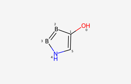 Oc1bb[nH]c1